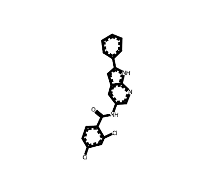 O=C(Nc1cnc2[nH]c(-c3ccccc3)cc2c1)c1ccc(Cl)cc1Cl